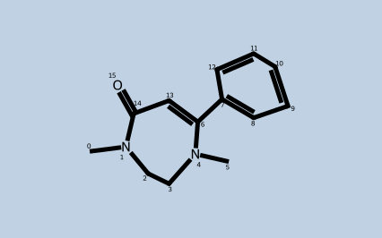 CN1CCN(C)C(c2ccccc2)=CC1=O